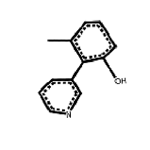 Cc1cccc(O)c1-c1cccnc1